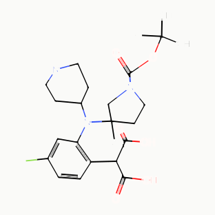 CC(C)(C)OC(=O)N1CCC(C)(N(c2cc(F)ccc2C(C(=O)O)C(=O)O)C2CCNCC2)C1